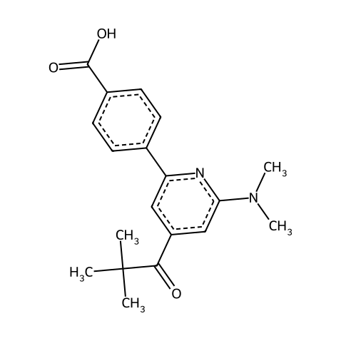 CN(C)c1cc(C(=O)C(C)(C)C)cc(-c2ccc(C(=O)O)cc2)n1